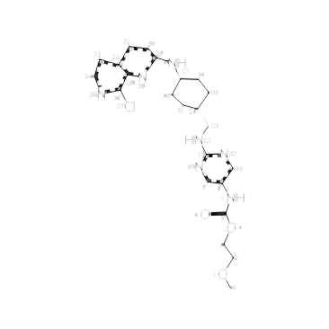 COCCOC(=O)Nc1cnc(NC[C@H]2CC[C@H](Nc3ccc4ccnc(Cl)c4n3)CC2)nc1